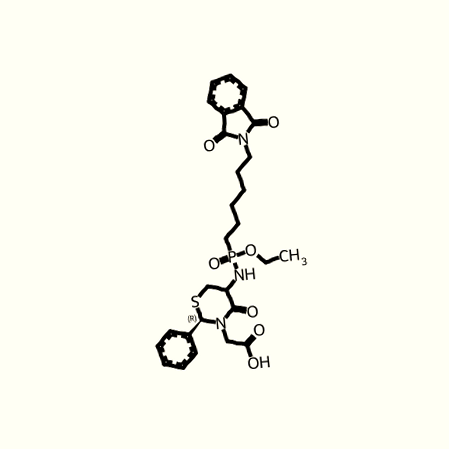 CCOP(=O)(CCCCCCN1C(=O)c2ccccc2C1=O)NC1CS[C@H](c2ccccc2)N(CC(=O)O)C1=O